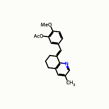 COc1ccc(C=C2CCCc3cc(C)cnc32)cc1OC(C)=O